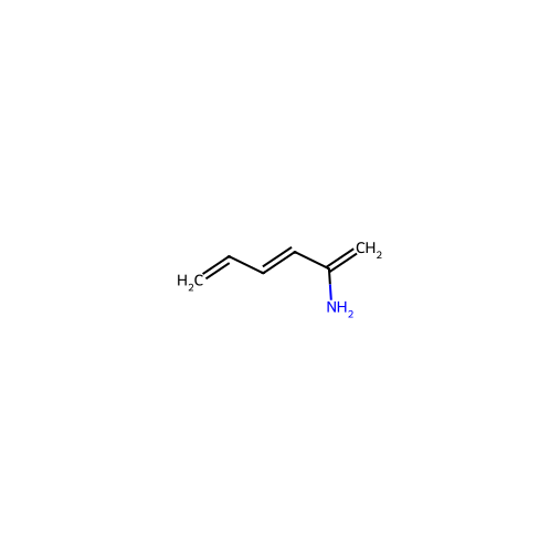 C=CC=CC(=C)N